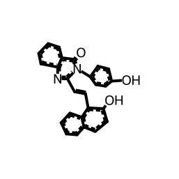 O=c1c2ccccc2nc(/C=C/c2c(O)ccc3ccccc23)n1-c1ccc(O)cc1